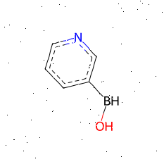 OBc1cccnc1